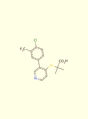 CC(C)(Sc1ccncc1-c1ccc(Cl)c(C(F)(F)F)c1)C(=O)O